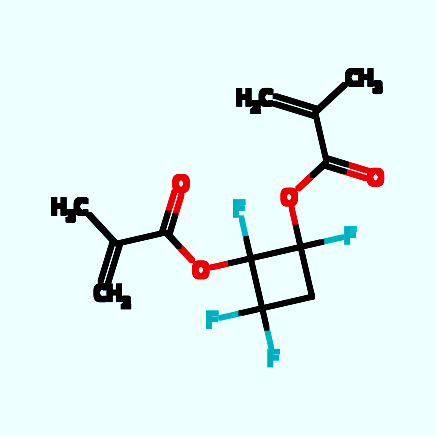 C=C(C)C(=O)OC1(F)CC(F)(F)C1(F)OC(=O)C(=C)C